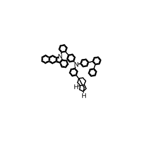 c1ccc(-c2ccccc2-c2ccc(N(c3ccc(-c4ccccc4-n4c5ccccc5c5cc6ccccc6cc54)cc3)c3cccc(C45CCC6C[C@H](C[C@@H]6C4)C5)c3)cc2)cc1